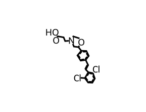 O=C(O)CCN1CCOC(c2ccc(C=Cc3c(Cl)cccc3Cl)cc2)C1